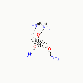 CCCCCNCCC[C@@H](C)[C@H]1CC[C@H]2[C@@H]3[C@H](OCCCN)C[C@@H]4C[C@H](OCCCN)CC[C@]4(C)[C@H]3C[C@H](OCCCN)[C@]12C